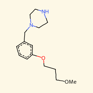 COCCCOc1cccc(CN2CCNCC2)c1